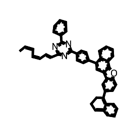 C\C=C/C=C\C=C\c1nc(-c2ccccc2)nc(-c2ccc(-c3cc4c5cc(C6=c7ccccc7=CCC6)ccc5oc4c4ccccc34)cc2)n1